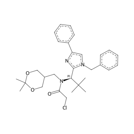 CC1(C)OCC(CN(C(=O)CCl)[C@@H](c2nc(-c3ccccc3)cn2Cc2ccccc2)C(C)(C)C)CO1